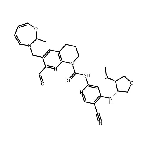 CO[C@H]1COC[C@@H]1Nc1cc(NC(=O)N2CCCc3cc(CN4C=CC=COC4C)c(C=O)nc32)ncc1C#N